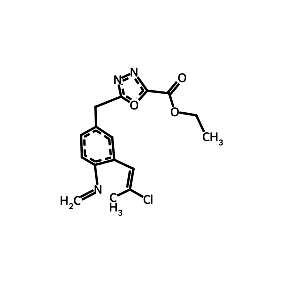 C=Nc1ccc(Cc2nnc(C(=O)OCC)o2)cc1/C=C(\C)Cl